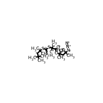 CC(C)(C)CC(C)(C)SC(=S)SC(C)(C)C(=O)OC(C)(C)CC(C)(C)N=[N+]=[N-]